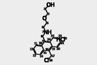 Cl.OCCOCCNCc1c2ccccc2c(CCl)c2ccccc12